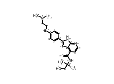 CN(C)CCNc1ccc(-c2nc3c(C(=O)NC(C)(C)CO)ccnc3[nH]2)cc1